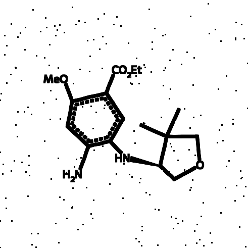 CCOC(=O)c1cc(N[C@@H]2COCC2(C)C)c(N)cc1OC